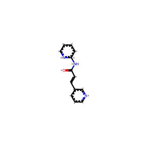 O=C(/C=C/c1cccnc1)Nc1ccccn1